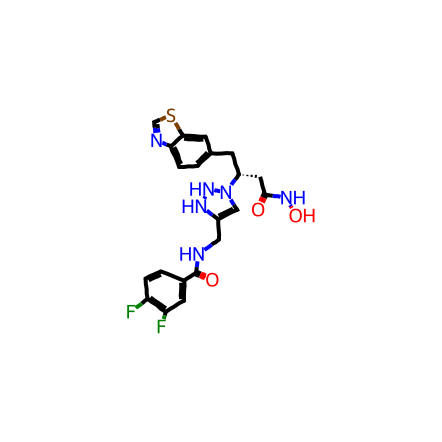 O=C(C[C@@H](Cc1ccc2ncsc2c1)N1C=C(CNC(=O)c2ccc(F)c(F)c2)NN1)NO